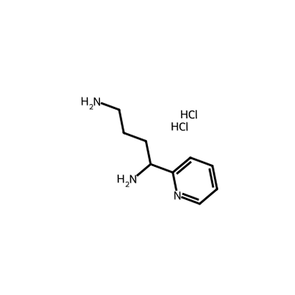 Cl.Cl.NCCCC(N)c1ccccn1